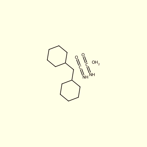 C1CCC(CC2CCCCC2)CC1.N=C=O.N=C=O.O